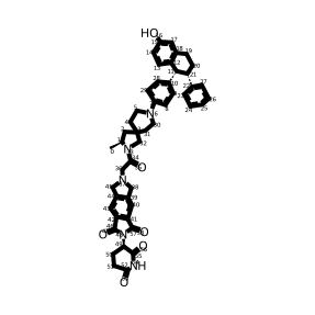 C[C@H]1CC2(CCN(c3ccc([C@@H]4c5ccc(O)cc5CC[C@@H]4c4ccccc4)cc3)CC2)CN1C(=O)CN1Cc2cc3c(cc2C1)C(=O)N([C@@H]1CCC(=O)NC1=O)C3=O